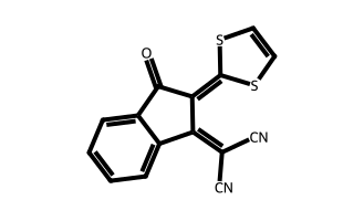 N#CC(C#N)=C1C(=C2SC=CS2)C(=O)c2ccccc21